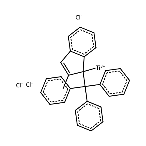 CC1=Cc2ccccc2[C]1([Ti+3])C(c1ccccc1)(c1ccccc1)c1ccccc1.[Cl-].[Cl-].[Cl-]